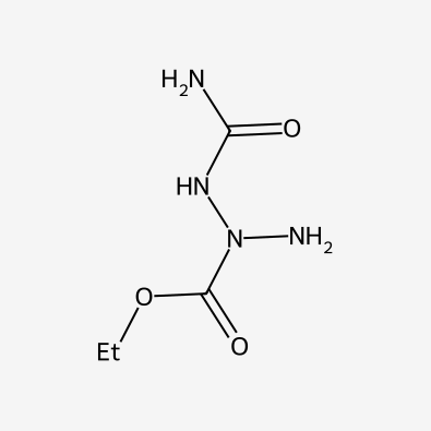 CCOC(=O)N(N)NC(N)=O